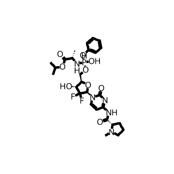 CC(C)OC(=O)[C@H](C)N[PH](O)(OC[C@H]1O[C@@H](n2ccc(NC(=O)[C@@H]3CCCN3C)nc2=O)C(F)(F)[C@@H]1O)Oc1ccccc1